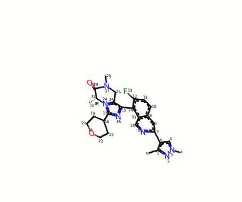 Cc1nn(C)cc1-c1cc2ccc(F)c(-c3nc(C4CCOCC4)n4c3CN(C)C(=O)[C@H]4C)c2cn1